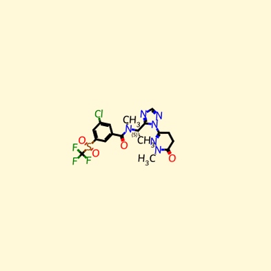 C[C@@H](c1ncnn1C1=NN(C)C(=O)CC1)N(C)C(=O)c1cc(Cl)cc(S(=O)(=O)C(F)(F)F)c1